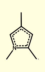 [CH2]c1cc(C)cn1C